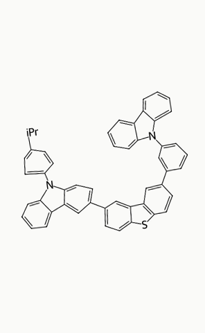 CC(C)c1ccc(-n2c3ccccc3c3cc(-c4ccc5sc6ccc(-c7cccc(-n8c9ccccc9c9ccccc98)c7)cc6c5c4)ccc32)cc1